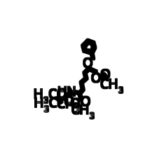 COC(=O)C(CCCCC(COC(C)=O)OCc1ccccc1)NC(=O)OC(C)(C)C